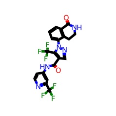 O=C1NCCc2c1cccc2-n1ncc(C(=O)Nc2ccnc(C(F)(F)F)c2)c1C(F)(F)F